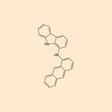 c1ccc2cc3c(Nc4cccc5c4[nH]c4ccccc45)cccc3cc2c1